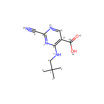 CC(C)(C)CNc1nc(C#N)ncc1C(=O)O